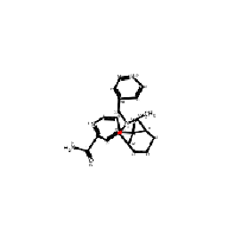 COC1(c2ccnc(C(N)=O)c2)C2CCCC1CN(Cc1ccncc1)C2